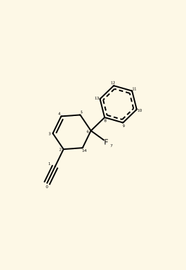 C#CC1C=CCC(F)(c2ccccc2)C1